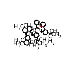 CC(C)(C)c1ccc(N2c3cc(C(C)(C)C)cc4c3B(c3ccc5c6c3N4c3cc4c(cc3C6(C)CCC5(C)C)C(C)(C)CCC4(C)C)c3c2sc2ccccc32)c(-c2ccccc2)c1